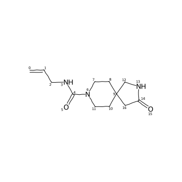 C=CCNC(=O)N1CCC2(CC1)CNC(=O)C2